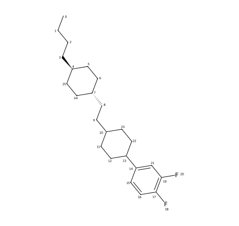 CCCC[C@H]1CC[C@H](CCC2CCC(c3ccc(F)c(F)c3)CC2)CC1